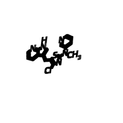 CN(c1cccnc1)c1nc(Cl)c(Cc2c[nH]c3ncccc23)s1